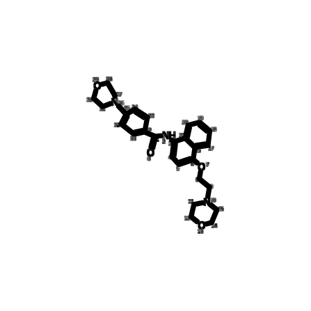 O=C(Nc1ccc(OCCN2CCOCC2)c2ccccc12)c1ccc(N2CCOCC2)cc1